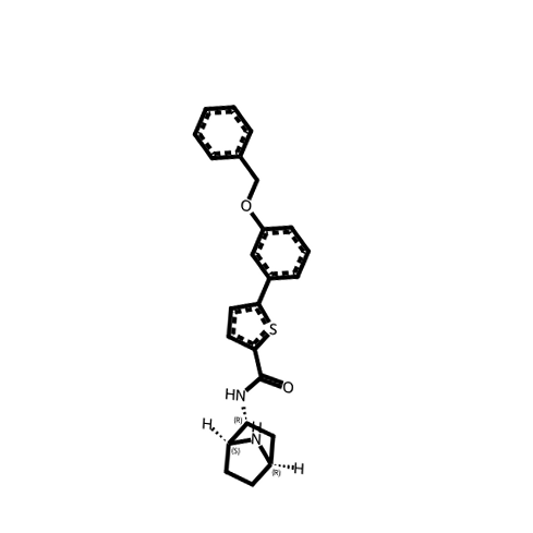 O=C(N[C@@H]1C[C@H]2CC[C@@H]1N2)c1ccc(-c2cccc(OCc3ccccc3)c2)s1